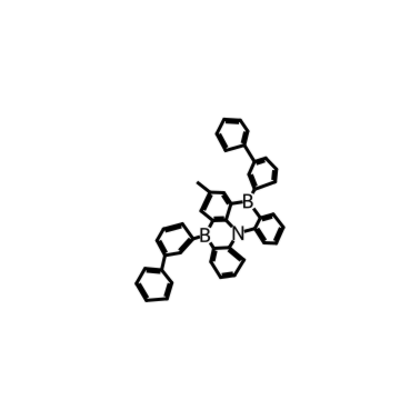 Cc1cc2c3c(c1)B(c1cccc(-c4ccccc4)c1)c1ccccc1N3c1ccccc1B2c1cccc(-c2ccccc2)c1